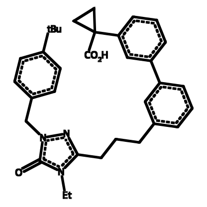 CCn1c(CCCc2cccc(-c3cccc(C4(C(=O)O)CC4)c3)c2)nn(Cc2ccc(C(C)(C)C)cc2)c1=O